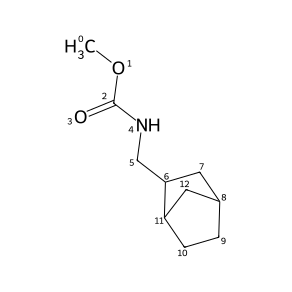 COC(=O)NCC1CC2CCC1C2